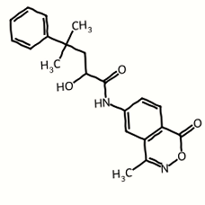 Cc1noc(=O)c2ccc(NC(=O)C(O)CC(C)(C)c3ccccc3)cc12